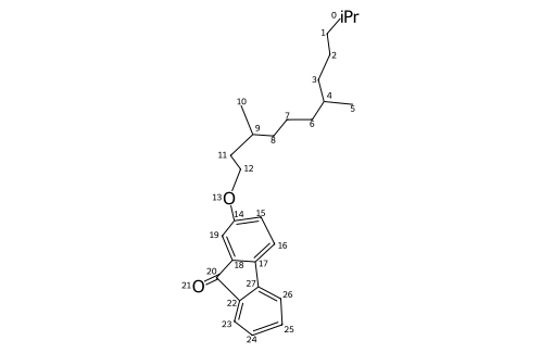 CC(C)CCCC(C)CCCC(C)CCOc1ccc2c(c1)C(=O)c1ccccc1-2